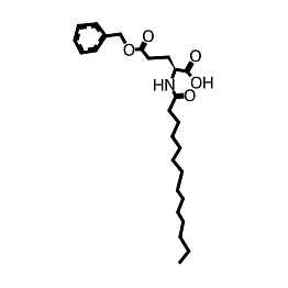 CCCCCCCCCCCCCC(=O)N[C@@H](CCC(=O)OCc1ccccc1)C(=O)O